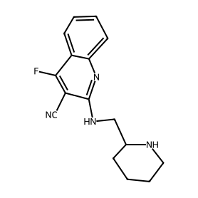 N#Cc1c(NCC2CCCCN2)nc2ccccc2c1F